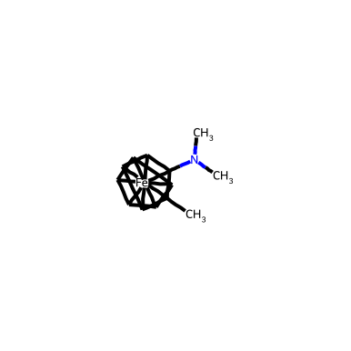 CN(C)[C]12[CH]3[CH]4[CH]5[C]1(C)[Fe]45321678[CH]2[CH]1[CH]6[CH]7[CH]28